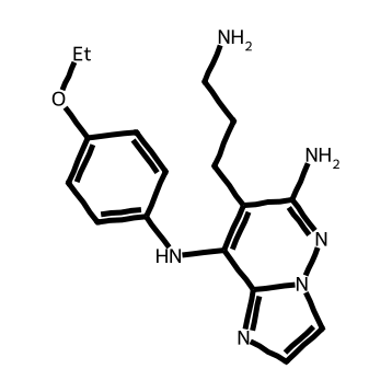 CCOc1ccc(Nc2c(CCCN)c(N)nn3ccnc23)cc1